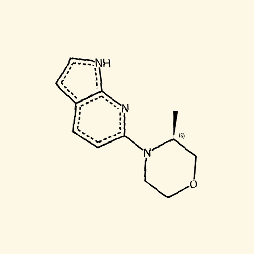 C[C@H]1COCCN1c1ccc2cc[nH]c2n1